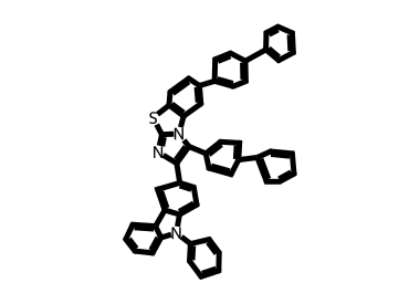 c1ccc(-c2ccc(-c3ccc4sc5nc(-c6ccc7c(c6)c6ccccc6n7-c6ccccc6)c(-c6ccc(-c7ccccc7)cc6)n5c4c3)cc2)cc1